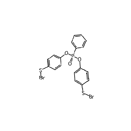 O=P(Oc1ccc(SBr)cc1)(Oc1ccc(SBr)cc1)c1ccccc1